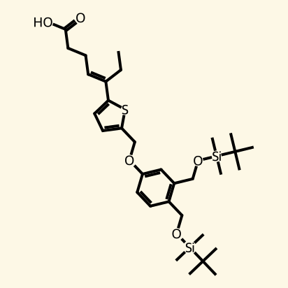 CCC(=CCCC(=O)O)c1ccc(COc2ccc(CO[Si](C)(C)C(C)(C)C)c(CO[Si](C)(C)C(C)(C)C)c2)s1